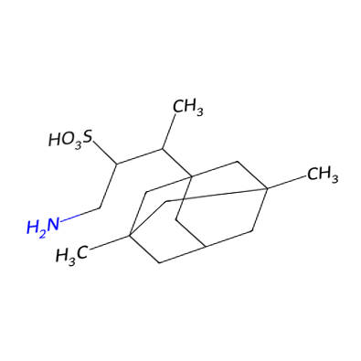 CC(C(CN)S(=O)(=O)O)C12CC3CC(C)(CC(C)(C3)C1)C2